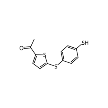 CC(=O)c1ccc(Sc2ccc(S)cc2)s1